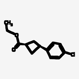 CCOC(=O)[C@H]1C[C@@H](c2ccc(Cl)cc2)C1